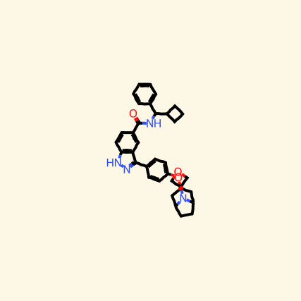 O=C(NC(c1ccccc1)C1CCC1)c1ccc2[nH]nc(-c3ccc(OC4CC5CCC(C4)N5C4COC4)cc3)c2c1